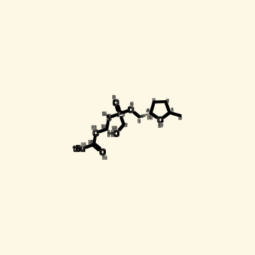 CC1CC[C@@H](COP(=O)(CO)SCOC(=O)C(C)(C)C)O1